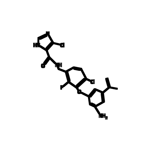 C=C(C)c1cc(N)cc(Oc2c(Cl)ccc(CNC(=O)c3[nH]cnc3Cl)c2F)c1